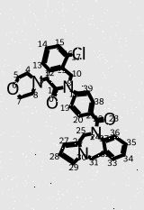 O=C(CN1CCOCC1)N(Cc1ccccc1Cl)c1ccc(C(=O)N2Cc3cccn3Cc3ccccc32)cc1